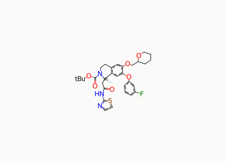 CC(C)(C)OC(=O)N1CCc2cc(OCC3CCCCO3)c(Oc3cccc(F)c3)cc2[C@@]1(C)CC(=O)Nc1nccs1